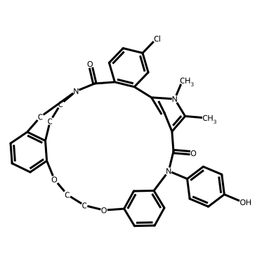 Cc1c2cc(n1C)-c1cc(Cl)ccc1C(=O)N1CCc3c(cccc3OCCOc3cccc(c3)N(c3ccc(O)cc3)C2=O)C1